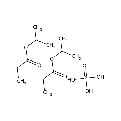 CCC(=O)OC(C)C.CCC(=O)OC(C)C.O=P(O)(O)O